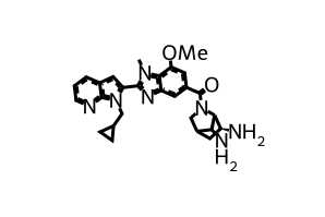 COc1cc(C(=O)N2CC3C[C@H](N)C2C3N)cc2nc(-c3cc4cccnc4n3CC3CC3)n(C)c12